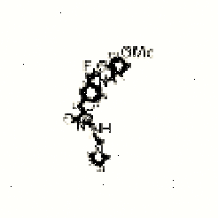 COc1ccc(Cn2ncc3cc(/C=C4\SC(NCCN5CCCC5)=NC4=O)ccc32)c(C(F)(F)F)c1